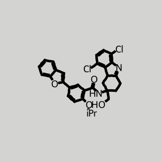 CC(C)Oc1ccc(-c2cc3ccccc3o2)cc1C(=O)NC1(CO)CCC2=Nc3c(Cl)ccc(Cl)c3C2C1